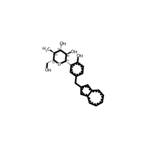 C[C@H]1[C@H](O)[C@@H](O)[C@H](c2cc(Cc3cc4cccccc-4c3)ccc2O)O[C@@H]1CO